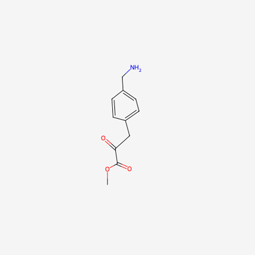 COC(=O)C(=O)Cc1ccc(CN)cc1